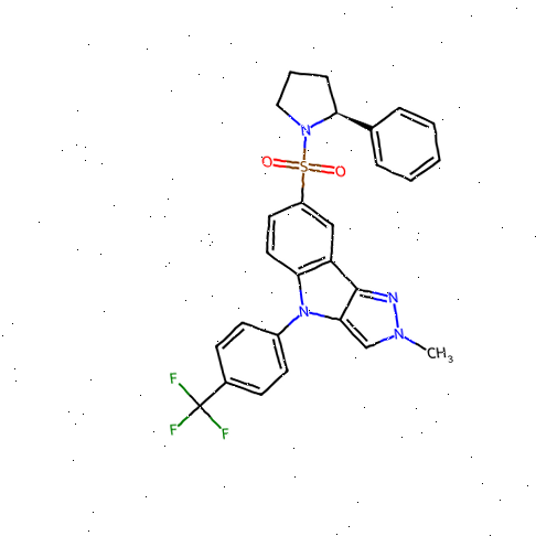 Cn1cc2c(n1)c1cc(S(=O)(=O)N3CCC[C@H]3c3ccccc3)ccc1n2-c1ccc(C(F)(F)F)cc1